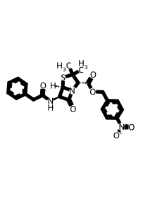 CC1(C)S[C@@H]2[C@H](NC(=O)Cc3ccccc3)C(=O)N2[C@H]1C(=O)OCc1ccc([N+](=O)[O-])cc1